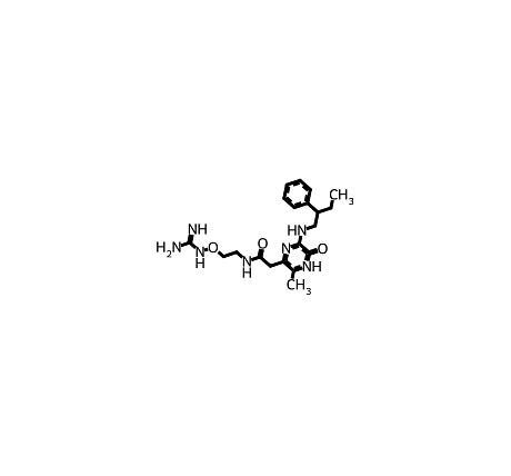 CCC(CNc1nc(CC(=O)NCCONC(=N)N)c(C)[nH]c1=O)c1ccccc1